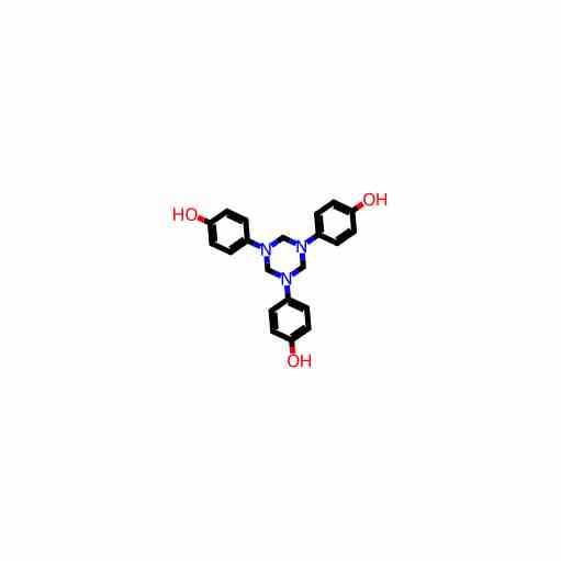 Oc1ccc(N2CN(c3ccc(O)cc3)CN(c3ccc(O)cc3)C2)cc1